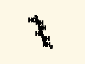 CCC(O)CNCCNCCNCCNCCN